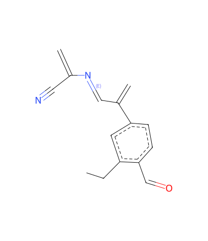 C=C(C#N)/N=C/C(=C)c1ccc(C=O)c(CC)c1